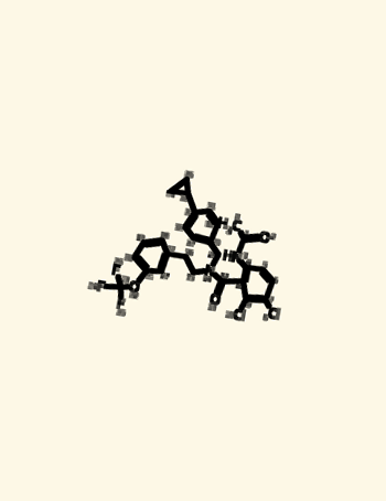 CC(=O)Nc1ccc(Cl)c(Cl)c1C(=O)N(CCc1cccc(OC(F)(F)F)c1)Cc1ccc(C2CC2)cc1